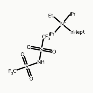 CCCCCCC[N+](CC)(C(C)C)C(C)C.O=S(=O)(NS(=O)(=O)C(F)(F)F)C(F)(F)F